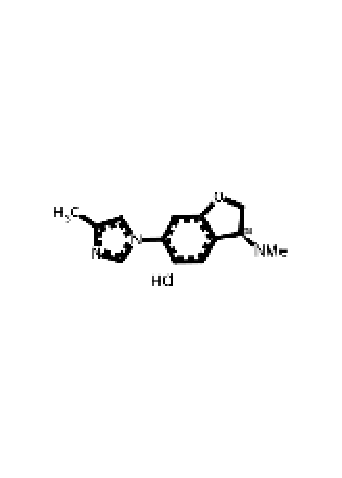 CN[C@@H]1COc2cc(-n3cnc(C)c3)ccc21.Cl